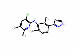 Cc1cc(Br)c(Nc2c(C)ccc(-c3cc[nH]n3)c2C)nc1C